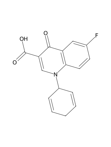 O=C(O)c1cn(C2C=CCC=C2)c2ccc(F)cc2c1=O